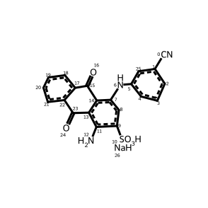 N#Cc1cccc(Nc2cc(S(=O)(=O)O)c(N)c3c2C(=O)c2ccccc2C3=O)c1.[NaH]